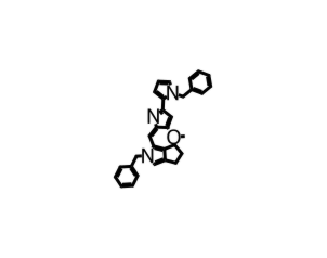 COC1=CC(c2cccn2Cc2ccccc2)=N/C1=C/c1c2c(cn1Cc1ccccc1)CCC2